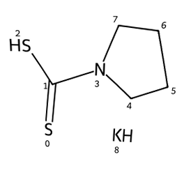 S=C(S)N1CCCC1.[KH]